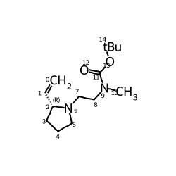 C=C[C@H]1CCCN1CCN(C)C(=O)OC(C)(C)C